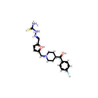 NC(=S)N/N=C/c1ccc(CN2CCC(C(=O)c3ccc(F)cc3)CC2)o1